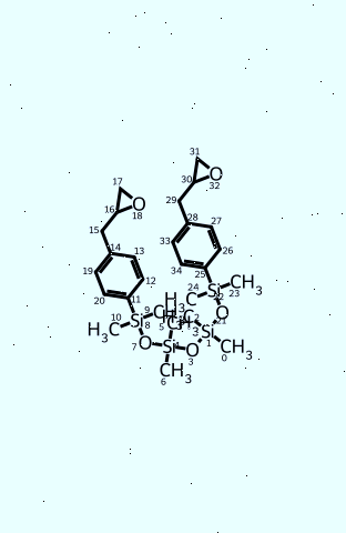 C[Si](C)(O[Si](C)(C)O[Si](C)(C)c1ccc(CC2CO2)cc1)O[Si](C)(C)c1ccc(CC2CO2)cc1